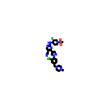 CN1CCN(Cc2ccc(-n3cc(-c4nc(N[C@H]5CCN(S(C)(=O)=O)C[C@H]5F)ncc4C#N)cn3)c(Cl)c2)CC1